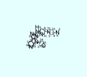 CN(C)C1CCN(c2ccc(Nc3ncc4c5ccncc5n([C@H]5CCOC5)c4n3)nc2)CC1